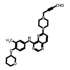 Cc1cc(Nc2ncnc3ccc(N4CCN(CC#CC=O)CC4)nc23)ccc1O[C@@H]1CCCOC1